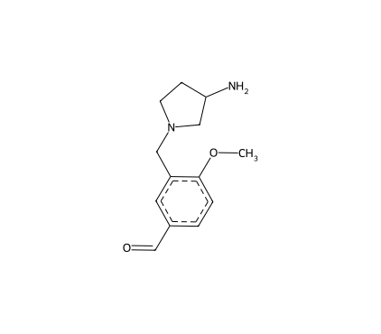 COc1ccc(C=O)cc1CN1CCC(N)C1